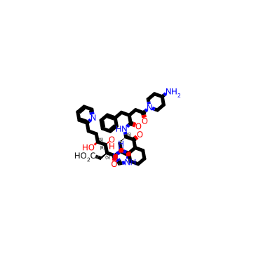 NC1CCN(C(=O)CC(Cc2ccccc2)C(=O)N[C@@H](Cc2c[nH]cn2)C(=O)C2CCCCC2NC(=O)[C@@H](CC(=O)O)[C@@H](O)[C@@H](O)CCc2ccccn2)CC1